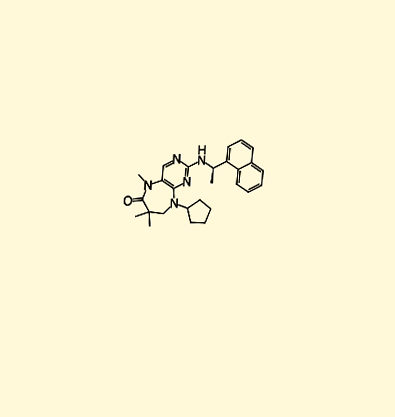 C[C@@H](Nc1ncc2c(n1)N(C1CCCC1)CC(C)(C)C(=O)N2C)c1cccc2ccccc12